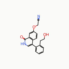 N#CCOc1ccc2c(-c3ccccc3CCO)c[nH]c(=O)c2c1